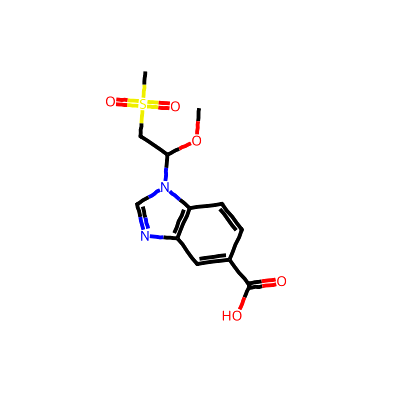 COC(CS(C)(=O)=O)n1cnc2cc(C(=O)O)ccc21